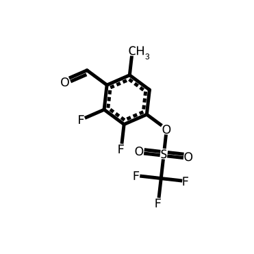 Cc1cc(OS(=O)(=O)C(F)(F)F)c(F)c(F)c1C=O